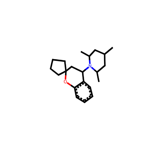 CC1CC(C)N(C2CC3(CCCC3)Oc3ccccc32)C(C)C1